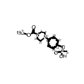 CC(C)(C)OC(=O)N1CCN(c2ccc(OP(C)(=O)O)cc2)CC1